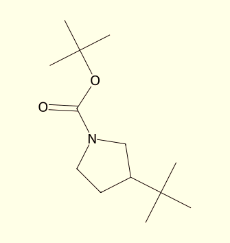 CC(C)(C)OC(=O)N1CCC(C(C)(C)C)C1